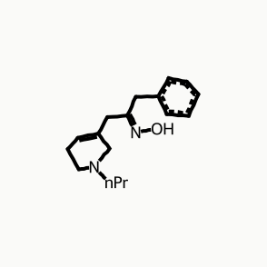 CCCN1CCC=C(CC(Cc2ccccc2)=NO)C1